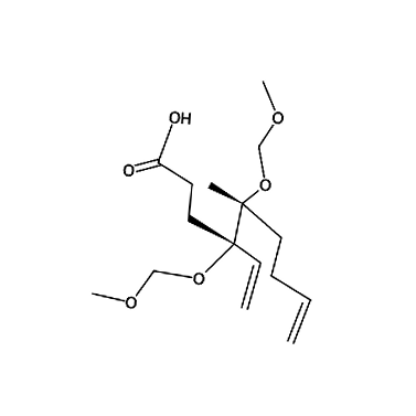 C=CCC[C@@](C)(OCOC)[C@@](C=C)(CCC(=O)O)OCOC